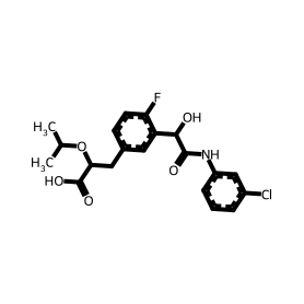 CC(C)OC(Cc1ccc(F)c(C(O)C(=O)Nc2cccc(Cl)c2)c1)C(=O)O